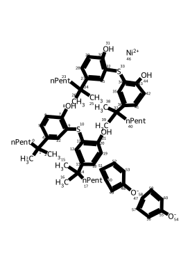 CCCCCC(C)(C)c1ccc(O)c(Sc2cc(C(C)(C)CCCCC)ccc2O)c1.CCCCCC(C)(C)c1ccc(O)c(Sc2cc(C(C)(C)CCCCC)ccc2O)c1.[Ni+2].[O-]c1ccccc1.[O-]c1ccccc1